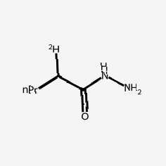 [2H]C(CCC)C(=O)NN